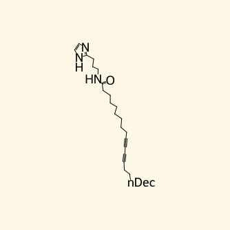 CCCCCCCCCCCCC#CC#CCCCCCCCCC(=O)NCCCc1ncc[nH]1